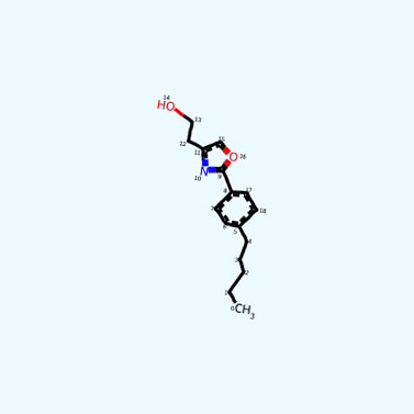 CCCCCc1ccc(-c2nc(CCO)co2)cc1